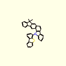 CC1(C)c2ccccc2-c2cc3c(ccc4c5ccccc5n(-c5cccc6c5sc5ccccc56)c34)cc21